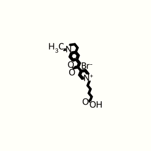 CCN1CCCc2cc3cc(-c4cc[n+](CCCCCC(=O)O)cc4)c(=O)oc3cc21.[Br-]